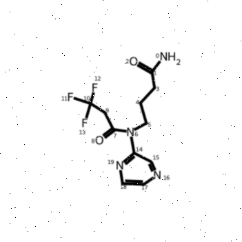 NC(=O)CCCN(C(=O)CC(F)(F)F)c1cnccn1